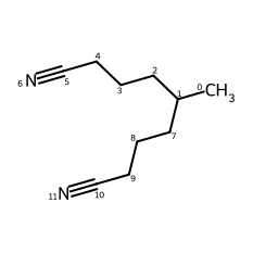 CC(CCCC#N)CCCC#N